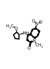 CO[C@@H]1CCC[C@@H]1Nc1cc(=O)n(C)c2ccc([N+](=O)[O-])cc12